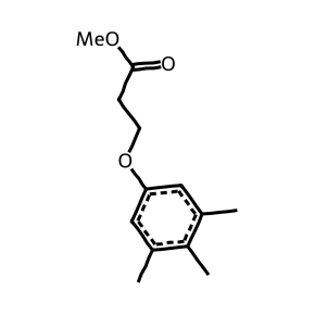 COC(=O)CCOc1cc(C)c(C)c(C)c1